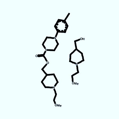 COCCN1CCC(CO)CC1.COCCN1CCC(COC(=O)N2CCN(c3ccc(C)cc3)CC2)CC1